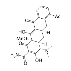 CO[C@@]12C(=O)C(C(N)=O)=C(O)[C@@H](N(C)C)[C@@H]1C[C@@H]1Cc3c(C(C)=O)cccc3C(=O)C1=C2O